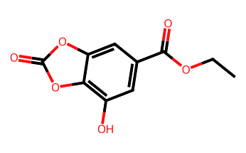 CCOC(=O)c1cc(O)c2oc(=O)oc2c1